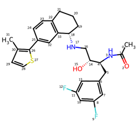 CC(=O)N[C@@H](Cc1cc(F)cc(F)c1)[C@H](O)CN[C@H]1CCCc2ccc(-c3sccc3C)cc21